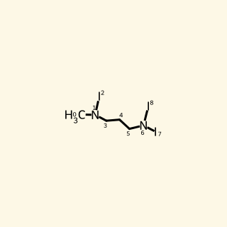 CN(I)CCCN(I)I